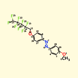 COc1ccc(/N=N/c2ccc(OCC(F)(F)C(F)(F)C(F)(F)C(F)F)cc2)cc1